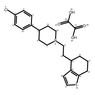 Clc1ccc(C2CCN(CCC3CCCc4sccc43)CC2)cc1.O=C(O)C(=O)O